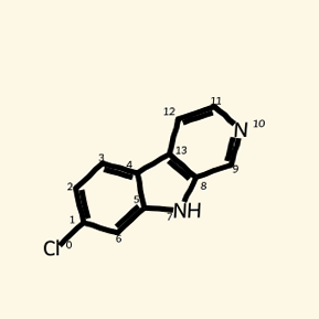 Clc1ccc2c(c1)[nH]c1cnccc12